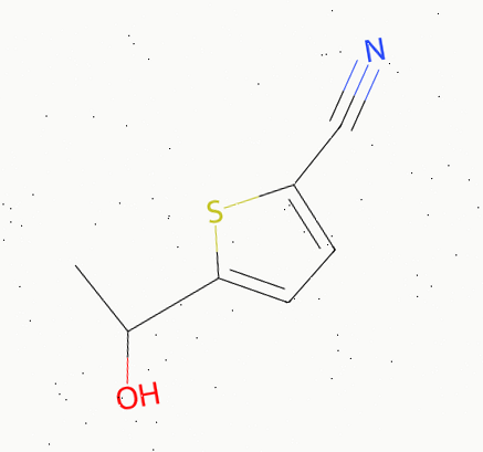 CC(O)c1ccc(C#N)s1